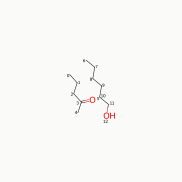 CCCC(C)=O.CCCCCCO